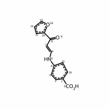 O=C(O)c1ccc(NC=CC(=O)c2ccco2)cc1